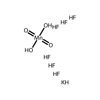 F.F.F.F.F.F.[KH].[O]=[Mn](=[O])([OH])[OH]